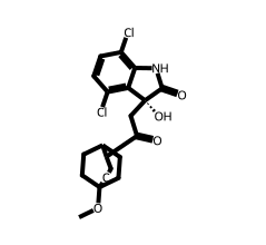 COC12CCC(CC1)C(C(=O)C[C@]1(O)C(=O)Nc3c(Cl)ccc(Cl)c31)CC2